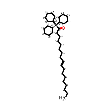 CCCCCCCCC=CCCCCCCC[C](=O)[Sn]([CH]1CCCCC1)([CH]1CCCCC1)[CH]1CCCCC1